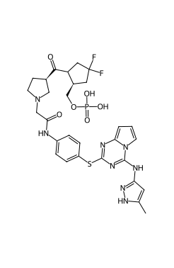 Cc1cc(Nc2nc(Sc3ccc(NC(=O)CN4CC[C@@H](C(=O)C5CC(F)(F)C[C@H]5COP(=O)(O)O)C4)cc3)nc3cccn23)n[nH]1